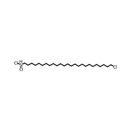 ClCCCCCCCCCCCCCCCCCCCCCCCCC[SiH](Cl)Cl